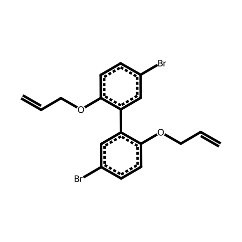 C=CCOc1ccc(Br)cc1-c1cc(Br)ccc1OCC=C